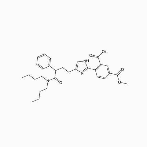 CCCCN(CCCC)C(=O)C(CCc1c[nH]c(-c2ccc(C(=O)OC)cc2C(=O)O)n1)c1ccccc1